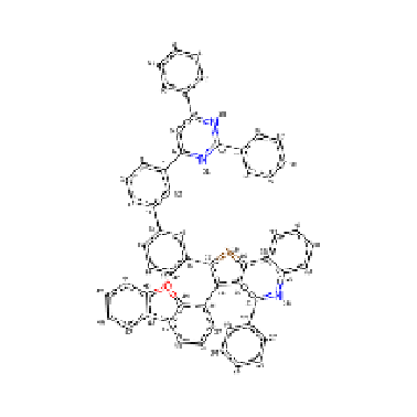 c1ccc(-c2cc(-c3cccc(-c4cccc(-c5sc6c(c(-c7ccccc7)nc7ccccc76)c5-c5cccc6c5oc5ccccc56)c4)c3)nc(-c3ccccc3)n2)cc1